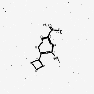 C=C(CC)C1=CC(N)=C(C2CCC2)CC1